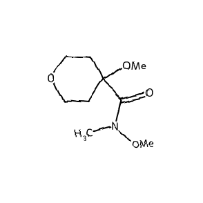 CON(C)C(=O)C1(OC)CCOCC1